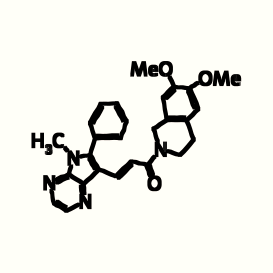 COc1cc2c(cc1OC)CN(C(=O)C=Cc1c(-c3ccccc3)n(C)c3nccnc13)CC2